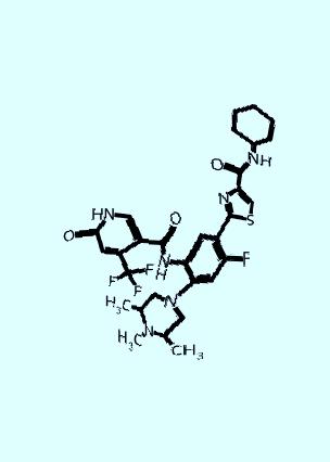 CC1CN(c2cc(F)c(-c3nc(C(=O)NC4CCCCC4)cs3)cc2NC(=O)c2c[nH]c(=O)cc2C(F)(F)F)CC(C)N1C